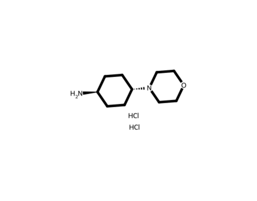 Cl.Cl.N[C@H]1CC[C@H](N2CCOCC2)CC1